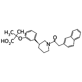 CC(C)(Oc1cccc([C@@H]2CCCN(C(=O)Cc3ccc4ccccc4c3)C2)c1)C(=O)O